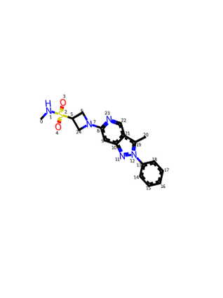 CNS(=O)(=O)C1CN(c2cc3nn(-c4ccccc4)c(C)c3cn2)C1